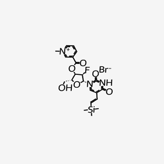 C[n+]1cccc(C(=O)O[C@H]2[C@@H](F)[C@H](n3cc(C=C[Si](C)(C)C)c(=O)[nH]c3=O)O[C@@H]2CO)c1.[Br-]